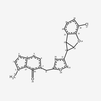 Cn1cnc2ncn(Cc3nc(C4C5Oc6c(Cl)cccc6C54)no3)c(=O)c21